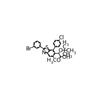 Cc1cc2nc(-c3cccc(Br)c3)sc2c(-c2ccc(Cl)cc2)c1C(OC(C)(C)C)C(=O)O